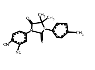 [C-]#[N+]c1ccc(N2C(=O)C(C)(C)N(c3ccc(C)cc3)C2=S)cc1[N+]#[C-]